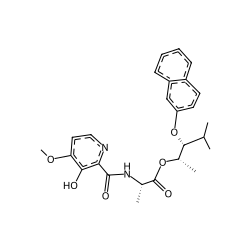 COc1ccnc(C(=O)N[C@@H](C)C(=O)O[C@@H](C)[C@H](Oc2ccc3ccccc3c2)C(C)C)c1O